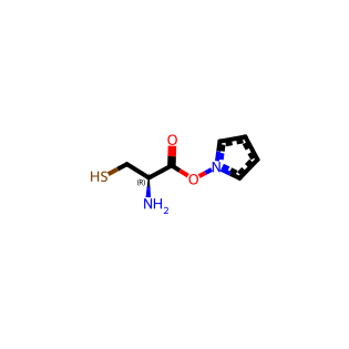 N[C@@H](CS)C(=O)On1cccc1